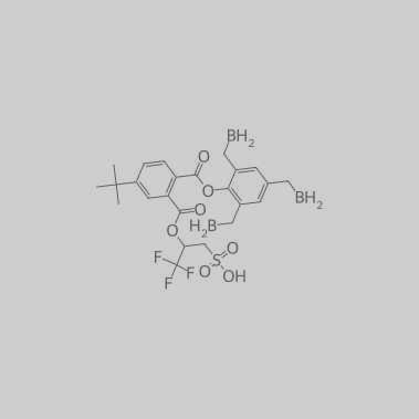 BCc1cc(CB)c(OC(=O)c2ccc(C(C)(C)C)cc2C(=O)OC(CS(=O)(=O)O)C(F)(F)F)c(CB)c1